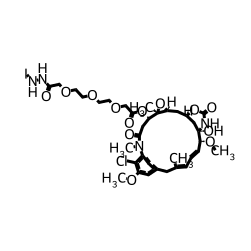 COc1cc2cc(c1Cl)N(C)C(=O)C[C@H](OC(=O)COCCOCCOCC(=O)NNI)[C@]1(C)O[C@H]1C[C@@H]1C[C@@](O)(NC(=O)O1)[C@H](OC)/C=C/C=C(\C)C2